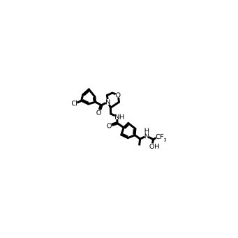 CC(NC(O)C(F)(F)F)c1ccc(C(=O)NCC2COCCN2C(=O)c2cccc(Cl)c2)cc1